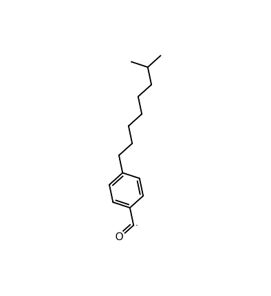 CC(C)CCCCCCc1ccc([C]=O)cc1